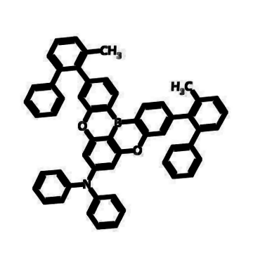 Cc1cccc(-c2ccccc2)c1-c1ccc2c(c1)Oc1cc(N(c3ccccc3)c3ccccc3)cc3c1B2c1ccc(-c2c(C)cccc2-c2ccccc2)cc1O3